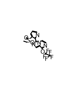 CCS(=O)(=O)c1cccnc1-c1ncc2c(OC(F)(F)C(F)(F)F)nccn12